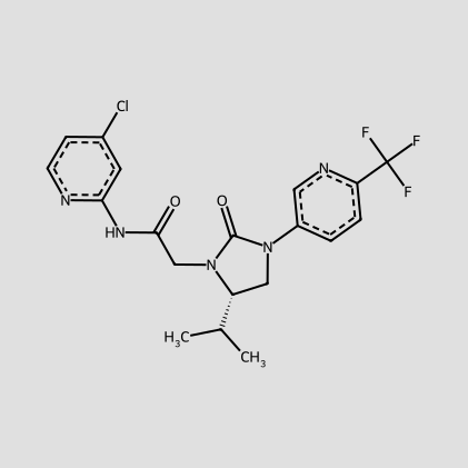 CC(C)[C@H]1CN(c2ccc(C(F)(F)F)nc2)C(=O)N1CC(=O)Nc1cc(Cl)ccn1